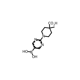 CC1(C(=O)O)CCN(c2ncc(B(O)O)cn2)CC1